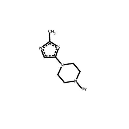 Cc1ncc(N2CCN(C(C)C)CC2)s1